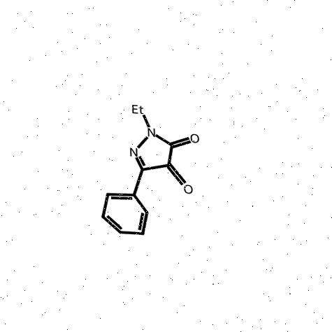 CCN1N=C(c2ccccc2)C(=O)C1=O